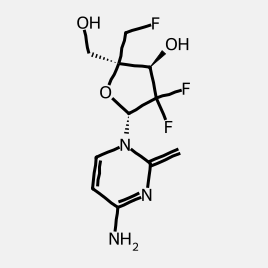 C=C1N=C(N)C=CN1[C@@H]1O[C@@](CO)(CF)[C@@H](O)C1(F)F